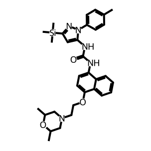 Cc1ccc(-n2nc([Si](C)(C)C)cc2NC(=O)Nc2ccc(OCCN3CC(C)OC(C)C3)c3ccccc23)cc1